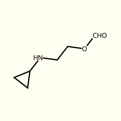 O=COCCNC1CC1